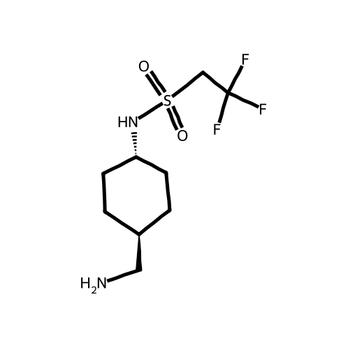 NC[C@H]1CC[C@H](NS(=O)(=O)CC(F)(F)F)CC1